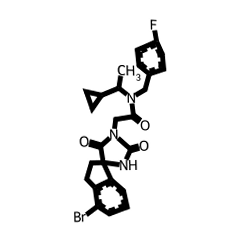 CC(C1CC1)N(Cc1ccc(F)cc1)C(=O)CN1C(=O)NC2(CCc3c(Br)cccc32)C1=O